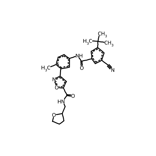 Cc1ccc(NC(=O)c2cc(C#N)cc(C(C)(C)C)c2)cc1-c1cc(C(=O)NCC2CCCO2)on1